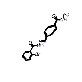 O=C(NO)c1ccc(/C=N/NC(=O)c2ccccc2Br)cc1